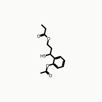 CCC(=O)OCCC(S)c1ccccc1OC(C)=O